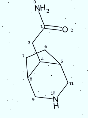 NC(=O)CC1C2CCC1CNC2